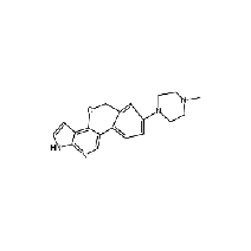 CN1CCN(c2ccc3c(c2)COc2c-3cnc3[nH]ccc23)CC1